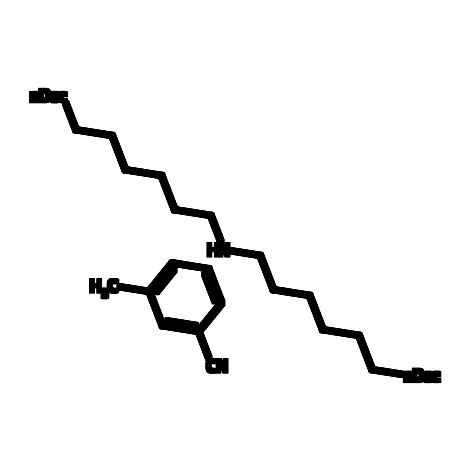 CCCCCCCCCCCCCCCCNCCCCCCCCCCCCCCCC.Cc1cccc(C#N)c1